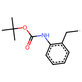 [CH2]Cc1ccccc1NC(=O)OC(C)(C)C